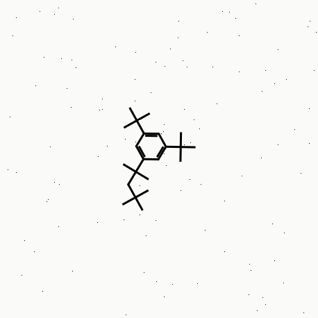 CC(C)(C)CC(C)(C)c1cc(C(C)(C)C)[c]c(C(C)(C)C)c1